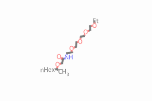 CCCCCCC(C)OCC(=O)NCCOCCOCCOCCOCC